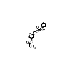 CC(=O)O[C@@H]1[CH][C@H](COC(=O)NC2CCCC2)OC1